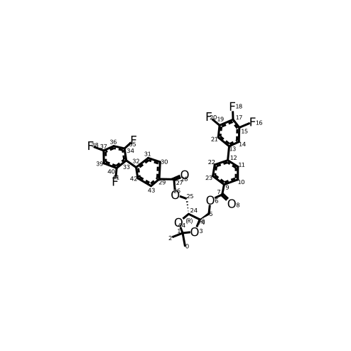 CC1(C)O[C@H](COC(=O)c2ccc(-c3cc(F)c(F)c(F)c3)cc2)[C@@H](COC(=O)c2ccc(-c3c(F)cc(F)cc3F)cc2)O1